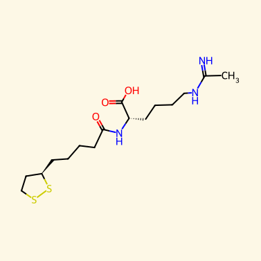 CC(=N)NCCCC[C@H](NC(=O)CCCC[C@@H]1CCSS1)C(=O)O